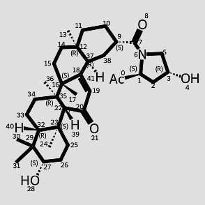 CC(=O)[C@@H]1C[C@@H](O)CN1C(=O)[C@H]1CC[C@]2(C)CC[C@]3(C)C(=CC(=O)[C@@H]4[C@@]5(C)CC[C@H](O)C(C)(C)[C@@H]5CC[C@]43C)[C@@H]2C1